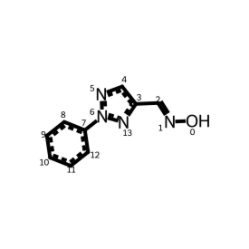 ON=Cc1cnn(-c2ccccc2)n1